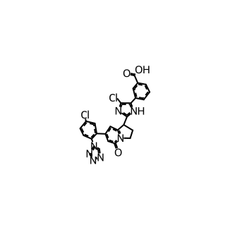 O=C(O)c1cccc(-c2[nH]c(C3CCn4c3cc(-c3cc(Cl)ccc3-n3cnnn3)cc4=O)nc2Cl)c1